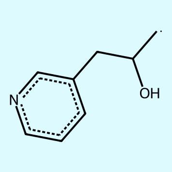 [CH2]C(O)Cc1cccnc1